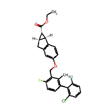 CCOC(=O)[C@H]1[C@@H]2Cc3cc(OCc4c(F)ccc(-c5c(Cl)cccc5Cl)c4C)ccc3[C@@H]21